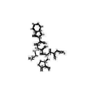 C=CC(=O)N[C@H](C[C@@H]1CCNC1=O)NC(=O)[C@H](CCC)NC(=O)c1cc2ccccc2[nH]1